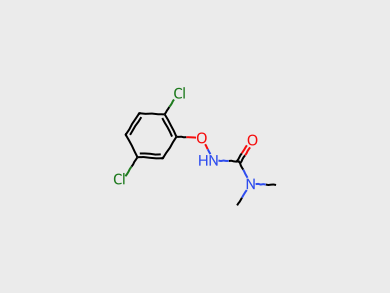 CN(C)C(=O)NOc1cc(Cl)ccc1Cl